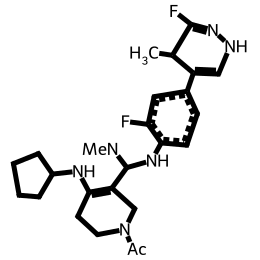 CNC(Nc1ccc(C2=CNN=C(F)C2C)cc1F)C1=C(NC2CCCC2)CCN(C(C)=O)C1